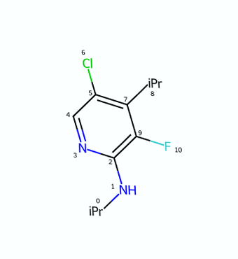 CC(C)Nc1ncc(Cl)c(C(C)C)c1F